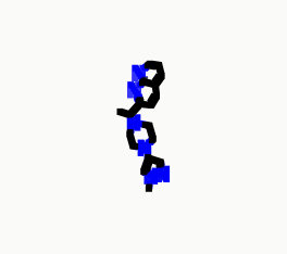 CC(c1ccc2cccnc2n1)N1CCN(c2cnn(C)c2)CC1